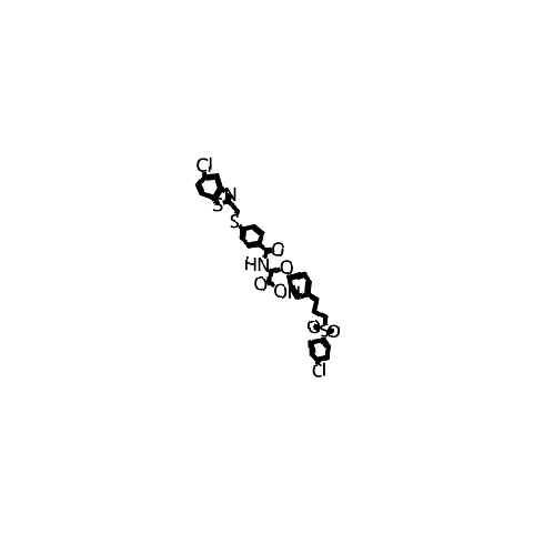 O=C(NC(Oc1ccc(CCCS(=O)(=O)c2ccc(Cl)cc2)cc1)C(=O)O)c1ccc(SCc2nc3cc(Cl)ccc3s2)cc1